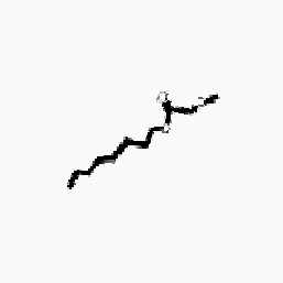 CCCCCCCCOC(=O)COC